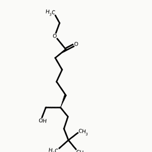 CCOC(=O)CCCC[C@H](CO)CCC(C)(C)C